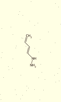 C=C/C=C/NN